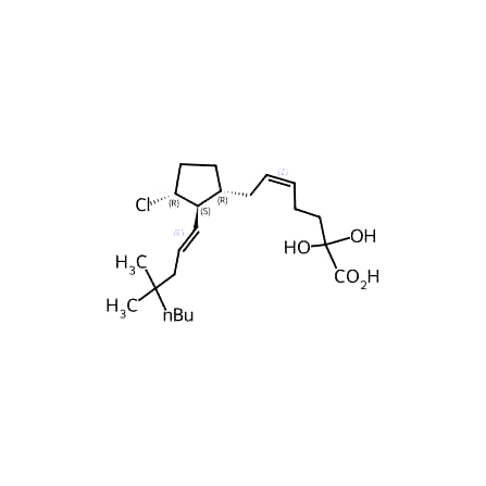 CCCCC(C)(C)C/C=C/[C@@H]1[C@@H](C/C=C\CCC(O)(O)C(=O)O)CC[C@H]1Cl